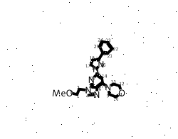 COCCn1cnc2c(N3CCOCC3)cc(N3CCC(c4ccccc4)=N3)nc21